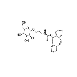 O=C(NCCCO[C@@H]1OC(CO)[C@H](O)C(O)[C@@H]1O)OC1Cc2ccccc2C#Cc2ccccc21